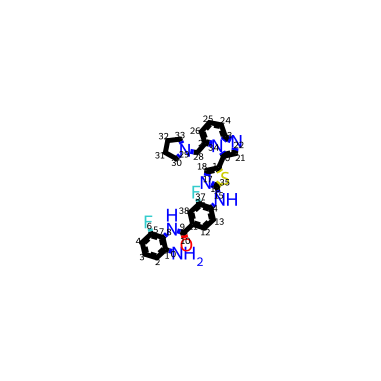 Nc1cccc(F)c1NC(=O)c1ccc(Nc2ncc(-c3cnc4cccc(CN5CCCC5)n34)s2)c(F)c1